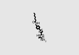 C=C(NC(=O)c1csc(-c2ccc(CNC(=O)CCCCCC)cc2)n1)C(N)=O